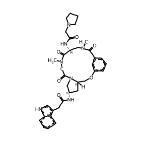 CN1C[C@@H](NC(=O)CN2CCCC2)C(=O)N(C)CC(=O)N2C[C@@H](NC(=O)Cc3c[nH]c4ccccc34)C[C@H]2COc2cccc(c2)C1=O